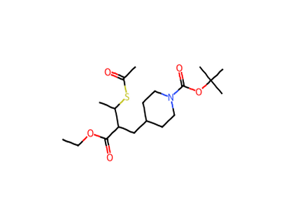 CCOC(=O)C(CC1CCN(C(=O)OC(C)(C)C)CC1)C(C)SC(C)=O